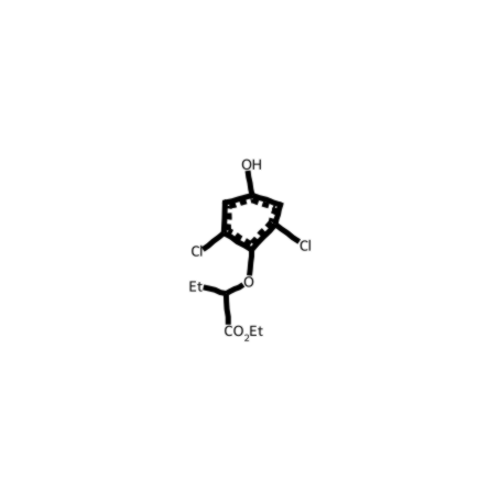 CCOC(=O)C(CC)Oc1c(Cl)cc(O)cc1Cl